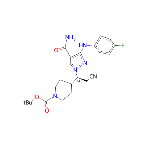 CC(C)(C)OC(=O)N1CCC([C@H](CC#N)n2cc(C(N)=O)c(Nc3ccc(F)cc3)n2)CC1